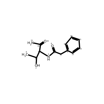 CC(O)C(NC(=O)Cc1ccccc1)C(N)=O